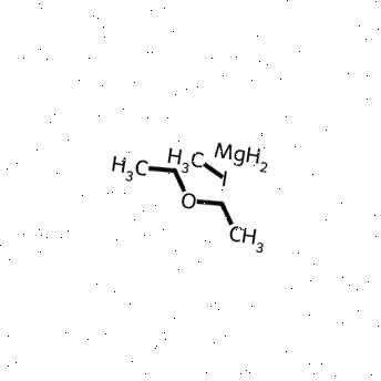 CCOCC.CI.[MgH2]